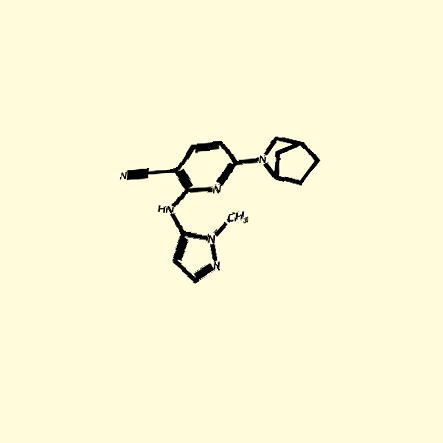 Cn1nccc1Nc1nc(N2CC3CCC2C3)ccc1C#N